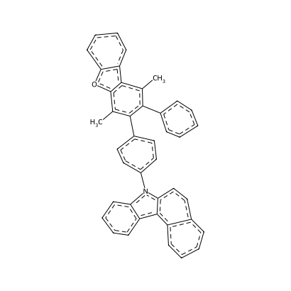 Cc1c(-c2ccc(-n3c4ccccc4c4c5ccccc5ccc43)cc2)c(-c2ccccc2)c(C)c2c1oc1ccccc12